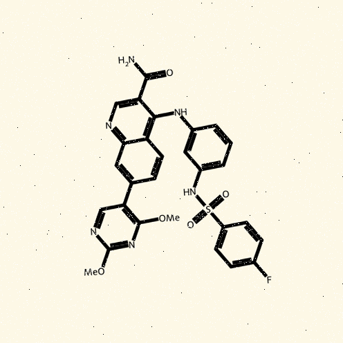 COc1ncc(-c2ccc3c(Nc4cccc(NS(=O)(=O)c5ccc(F)cc5)c4)c(C(N)=O)cnc3c2)c(OC)n1